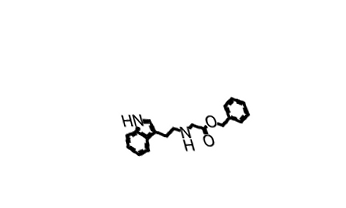 O=C(CNCCc1c[nH]c2ccccc12)OCc1ccccc1